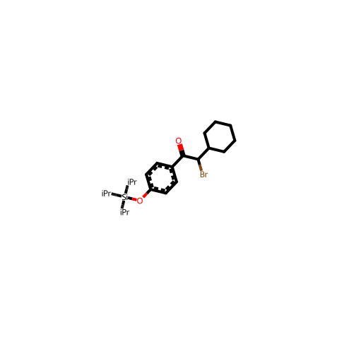 CC(C)[Si](Oc1ccc(C(=O)C(Br)C2CCCCC2)cc1)(C(C)C)C(C)C